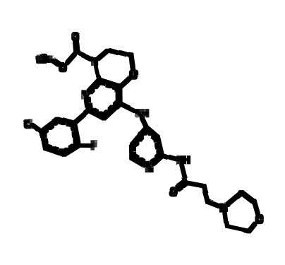 CC(C)(C)OC(=O)N1CCOc2c(Nc3ccnc(NC(=O)CCN4CCOCC4)c3)cc(-c3cc(Cl)ccc3F)nc21